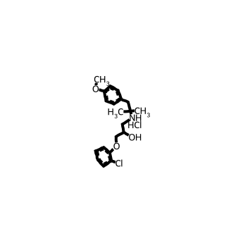 COc1ccc(CC(C)(C)NCC(O)COc2ccccc2Cl)cc1.Cl